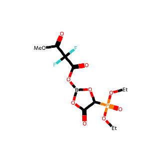 CCOP(=O)(OCC)C1OB(OC(=O)C(F)(F)C(=O)OC)OC1=O